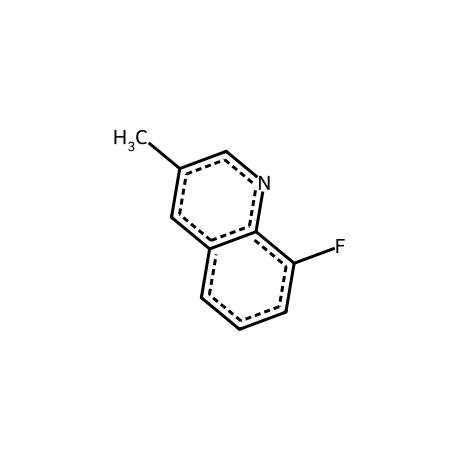 Cc1cnc2c(F)cccc2c1